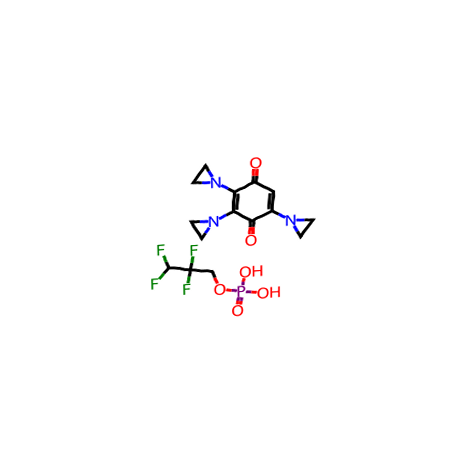 O=C1C=C(N2CC2)C(=O)C(N2CC2)=C1N1CC1.O=P(O)(O)OCC(F)(F)C(F)F